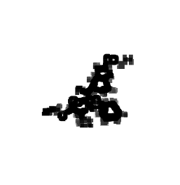 CCCOC(=O)[C@H](CC)NP(=O)(Oc1ccccc1)C(F)c1ccc2sc(C(=O)O)cc2c1